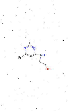 Cc1nc(NCCO)cc(C(C)C)n1